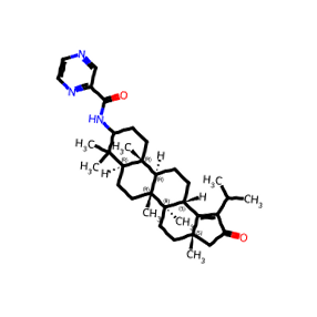 CC(C)C1=C2[C@H]3CC[C@@H]4[C@@]5(C)CCC(NC(=O)c6cnccn6)C(C)(C)[C@@H]5CC[C@@]4(C)[C@]3(C)CC[C@@]2(C)CC1=O